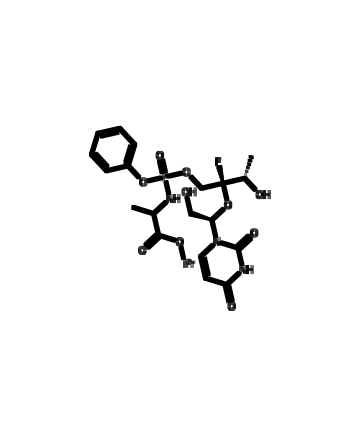 CC(C)OC(=O)C(C)NP(=O)(OC[C@@](F)(O[C@H](CO)n1ccc(=O)[nH]c1=O)[C@H](C)O)Oc1ccccc1